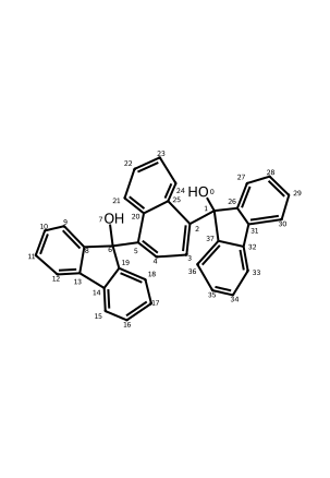 OC1(c2ccc(C3(O)c4ccccc4-c4ccccc43)c3ccccc23)c2ccccc2-c2ccccc21